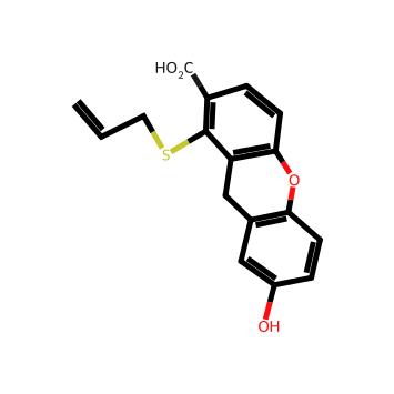 C=CCSc1c(C(=O)O)ccc2c1Cc1cc(O)ccc1O2